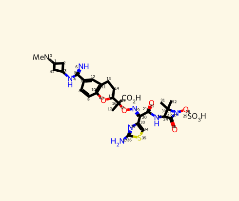 CNC1CC(NC(=N)c2ccc3c(c2)CCC(C(C)(ON=C(C(=O)NC2C(=O)N(OS(=O)(=O)O)C2(C)C)c2csc(N)n2)C(=O)O)O3)C1